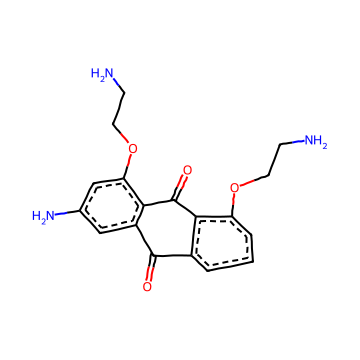 NCCOc1cccc2c1C(=O)c1c(OCCN)cc(N)cc1C2=O